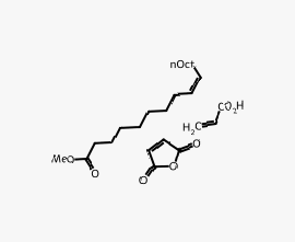 C=CC(=O)O.CCCCCCCC/C=C\CCCCCCCC(=O)OC.O=C1C=CC(=O)O1